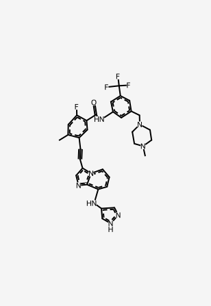 Cc1cc(F)c(C(=O)Nc2cc(CN3CCN(C)CC3)cc(C(F)(F)F)c2)cc1C#Cc1cnc2c(Nc3cn[nH]c3)cccn12